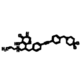 C=CCNCC(Cc1ccc(C#Cc2ccc(CN3CCS(=O)(=O)CC3)cc2)cc1)c1nc[nH]c(=O)c1O